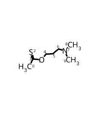 CC(=S)OCCCN(C)C